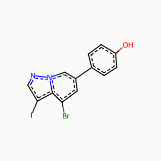 Oc1ccc(-c2cc(Br)c3c(I)cnn3c2)cc1